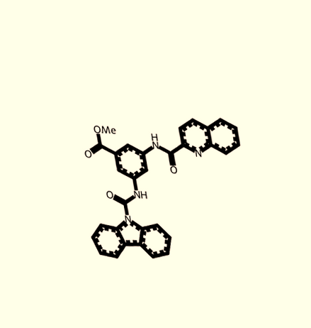 COC(=O)c1cc(NC(=O)c2ccc3ccccc3n2)cc(NC(=O)n2c3ccccc3c3ccccc32)c1